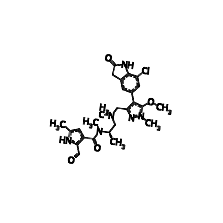 COc1c(-c2cc(Cl)c3c(c2)CC(=O)N3)c(CN(C)C[C@@H](C)N(C)C(=O)c2cc(C)[nH]c2C=O)nn1C